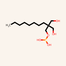 CCCCCCCCC(CO)(CO)COP(O)O